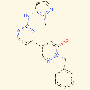 Cn1nccc1Nc1nccc(-c2cnn(Cc3ccccc3)c(=O)c2)n1